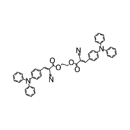 N#C/C(=C\c1ccc(N(c2ccccc2)c2ccccc2)cc1)C(=O)OCCOC(=O)/C(C#N)=C/c1ccc(N(c2ccccc2)c2ccccc2)cc1